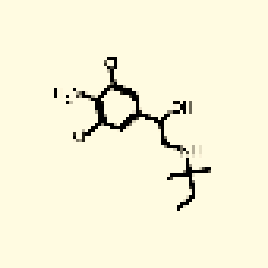 CCC(C)(C)NCC(O)c1cc(Cl)c(N)c(Cl)c1